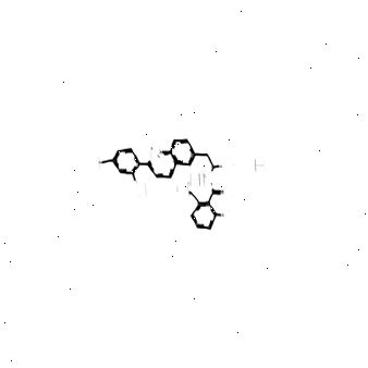 O=C(NC(Cc1ccc2nc(-c3ccc(Cl)cc3Cl)ccc2c1)C(=O)O)c1c(Cl)cccc1Cl